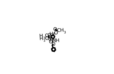 CC(=O)OC[C@H]1C[C@@H](NC(=O)OCc2ccccc2)[C@@H]2OC(C)(C)O[C@H]12